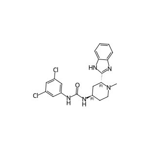 CN1CC[C@@H](NC(=O)Nc2cc(Cl)cc(Cl)c2)C[C@@H]1c1nc2ccccc2[nH]1